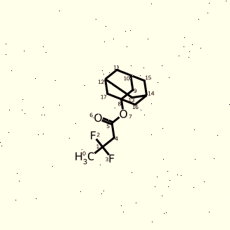 CC(F)(F)CC(=O)OC12CC3CC(CC(C3)C1)C2